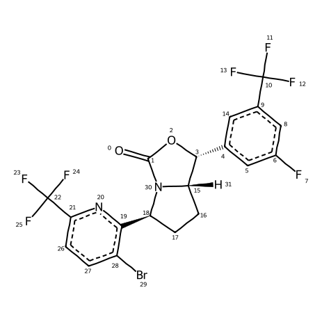 O=C1O[C@H](c2cc(F)cc(C(F)(F)F)c2)[C@@H]2CC[C@@H](c3nc(C(F)(F)F)ccc3Br)N12